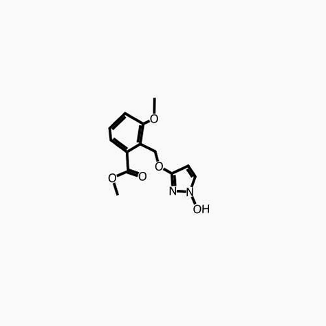 COC(=O)c1cccc(OC)c1COc1ccn(O)n1